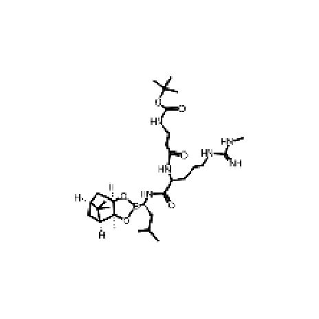 CNC(=N)NCCC[C@H](NC(=O)CCNC(=O)OC(C)(C)C)C(=O)N[C@@H](CC(C)C)B1O[C@@H]2C[C@@H]3C[C@@H](C3(C)C)[C@]2(C)O1